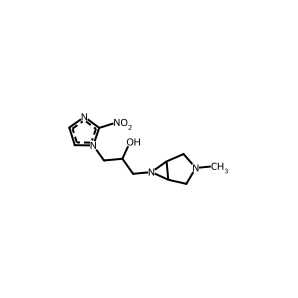 CN1CC2C(C1)N2CC(O)Cn1ccnc1[N+](=O)[O-]